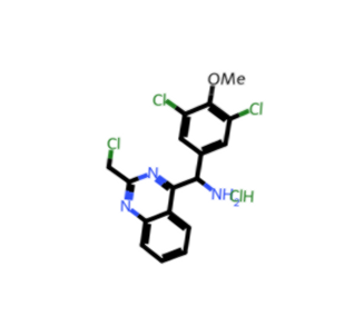 COc1c(Cl)cc(C(N)c2nc(CCl)nc3ccccc23)cc1Cl.Cl